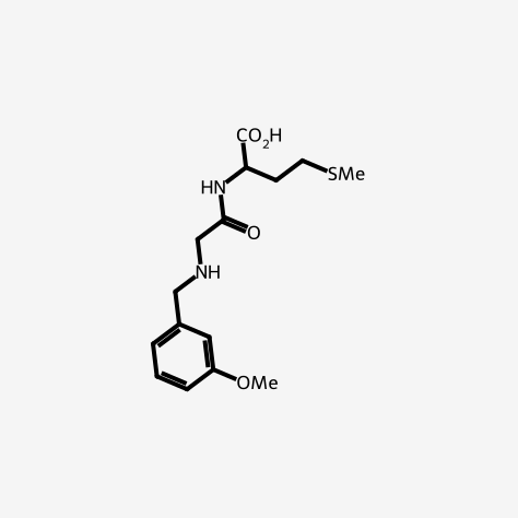 COc1cccc(CNCC(=O)NC(CCSC)C(=O)O)c1